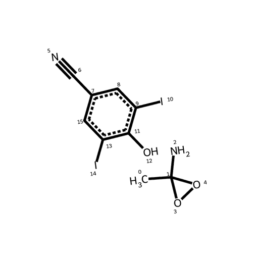 CC1(N)OO1.N#Cc1cc(I)c(O)c(I)c1